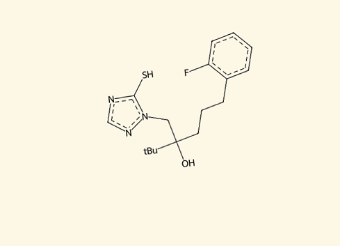 CC(C)(C)C(O)(CCCc1ccccc1F)Cn1ncnc1S